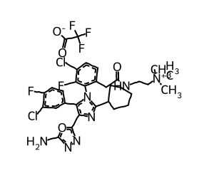 C[N+](C)(C)CCNC(=O)Cc1ccc(Cl)c(F)c1-n1c(C2CCCCC2)nc(-c2nnc(N)o2)c1-c1ccc(F)c(Cl)c1.O=C([O-])C(F)(F)F